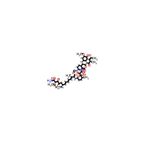 C/C=C\[C@@H](C)C(=O)C[C@@H]1OC(=O)[C@@H]2C(CCCN2C(=O)C(=O)[C@]2(O)O[C@H](C[C@H](COC)/C(C)=C/C=C/C=C/[C@@H](CC)C[C@@H](C)C(=O)[C@H](OC)[C@@H](N)O)CC[C@H]2C)[C@@H]1C[C@@H]1CC[C@@H](O)[C@H](OC)C1